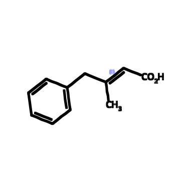 C/C(=C\C(=O)O)Cc1ccccc1